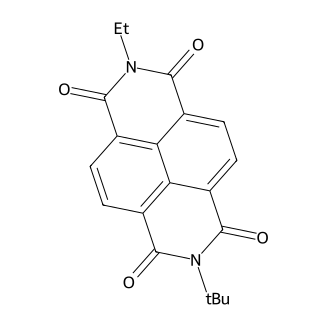 CCN1C(=O)c2ccc3c4c(ccc(c24)C1=O)C(=O)N(C(C)(C)C)C3=O